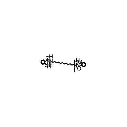 O=C(NNCCCCCCCCCCCCNNC(=O)c1ccccc1O)c1ccccc1O